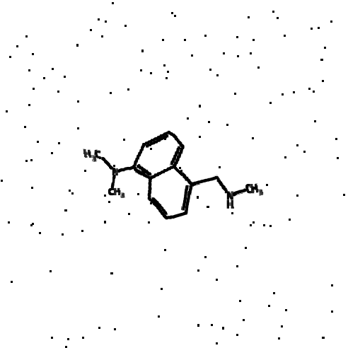 CNCc1cccc2c(N(C)C)cccc12